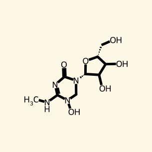 CNC1=NC(=O)N([C@@H]2O[C@H](CO)C(O)C2O)CN1O